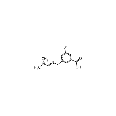 CN(C)C=NCc1cc(Br)cc(C(=O)O)c1